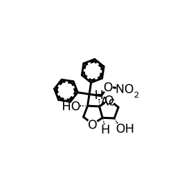 CC(=O)C(O[N+](=O)[O-])C(c1ccccc1)(c1ccccc1)[C@]1(O)CO[C@@H]2[C@@H](O)CO[C@@H]21